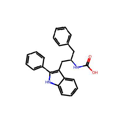 O=C(O)NC(Cc1ccccc1)Cc1c(-c2ccccc2)[nH]c2ccccc12